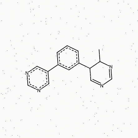 CC1N=CN=CC1c1cccc(-c2cncnc2)c1